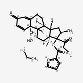 CCO.C[C@@H]1C[C@H]2[C@@H]3CCC4=CC(=O)C=C[C@]4(C)C3(Cl)[C@@H](O)C[C@]2(C)[C@@]1(OC(=O)c1ccco1)C(=O)CCl